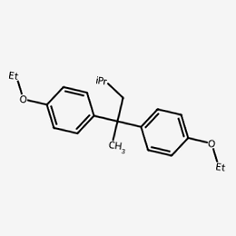 CCOc1ccc(C(C)(CC(C)C)c2ccc(OCC)cc2)cc1